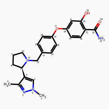 Cc1nn(C)cc1[C@H]1CCCN1Cc1ccc(Oc2ccc(C(N)=O)c(O)c2)cc1